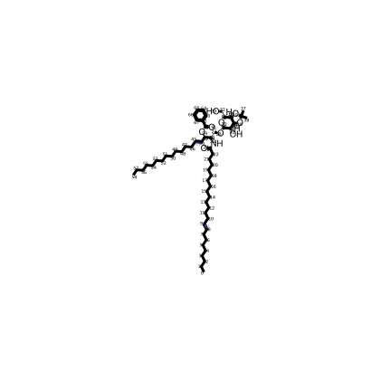 CCCCCCCC/C=C/CCCCCCCCCCCCCC(=O)N[C@@H](CO[C@H]1O[C@H](CO)[C@@H]2OC(C)(C)O[C@@H]2[C@H]1O)[C@@H](/C=C/CCCCCCCCCCCCC)OC(=O)c1ccccc1